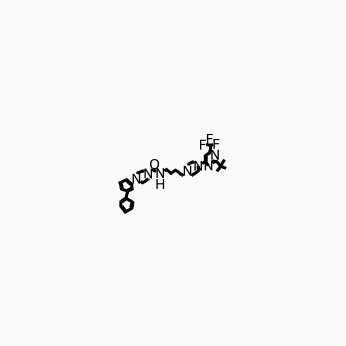 CC(C)(C)c1nc(N2CCN(CCCCNC(=O)N3CCN(c4cccc(-c5ccccc5)c4)CC3)CC2)cc(C(F)(F)F)n1